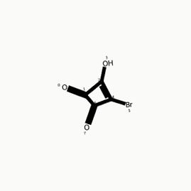 O=c1c(O)c(Br)c1=O